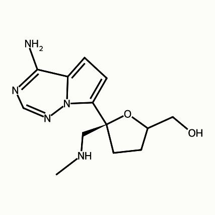 CNC[C@]1(c2ccc3c(N)ncnn23)CCC(CO)O1